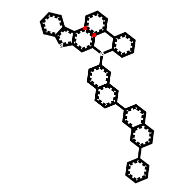 c1ccc(-c2ccc3ccc(-c4ccc5ccc(N(c6ccc7c(c6)sc6ccccc67)c6ccccc6-c6ccccc6)cc5c4)cc3c2)cc1